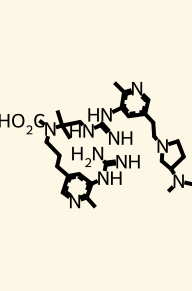 Cc1ncc(CCCN(C(=O)O)C(C)(C)CNC(=N)Nc2cc(CCN3CCC(N(C)C)C3)cnc2C)cc1NC(=N)N